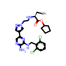 CC(C)C[C@H](NCCn1cc(-c2cnc(N)c(NCc3c(Cl)cccc3Cl)n2)cn1)C(=O)OC1CCCC1